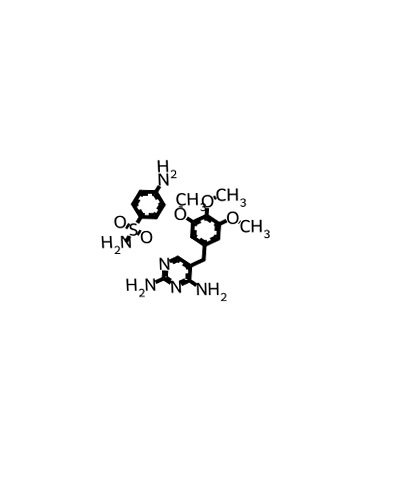 COc1cc(Cc2cnc(N)nc2N)cc(OC)c1OC.Nc1ccc(S(N)(=O)=O)cc1